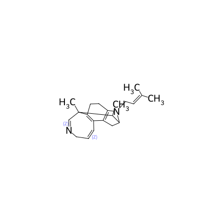 CC(C)=CCN1C2=C3CC1C(C)C1(C)/C=N\C/C=C\C3=C1CC2